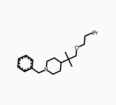 CC(C)CCOCC(C)(C)C1CCN(Cc2ccccc2)CC1